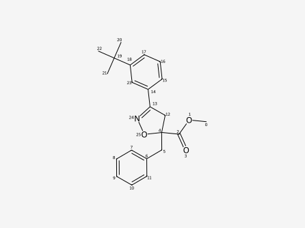 COC(=O)C1(Cc2ccccc2)CC(c2cccc(C(C)(C)C)c2)=NO1